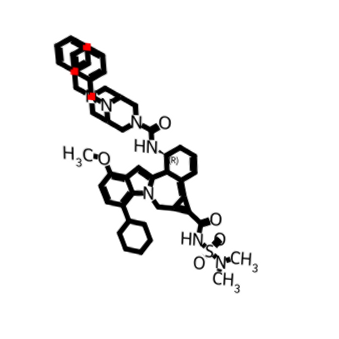 COc1ccc(C2CCCCC2)c2c1cc1n2CC2=C(C(=O)NS(=O)(=O)N(C)C)C2=C2C=CC[C@@H](NC(=O)N3CC4CN(Cc5ccccc5)CC(C3)N4Cc3ccccc3)C21